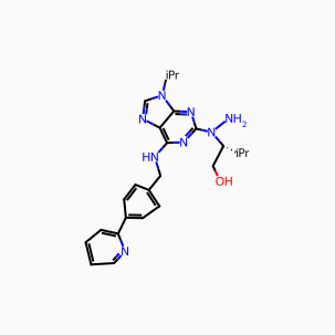 CC(C)[C@H](CO)N(N)c1nc(NCc2ccc(-c3ccccn3)cc2)c2ncn(C(C)C)c2n1